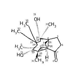 C[C@@H]1CC[C@@]23CCC(=O)[C@H]2[C@]1(C)[C@H](O)CC(C)(C)[C@@H](O)[C@@H]3C